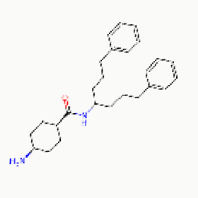 N[C@H]1CC[C@@H](C(=O)NC(CCCc2ccccc2)CCCc2ccccc2)CC1